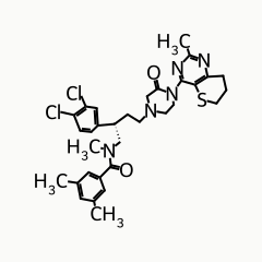 Cc1cc(C)cc(C(=O)N(C)C[C@@H](CCN2CCN(c3nc(C)nc4c3SCCC4)C(=O)C2)c2ccc(Cl)c(Cl)c2)c1